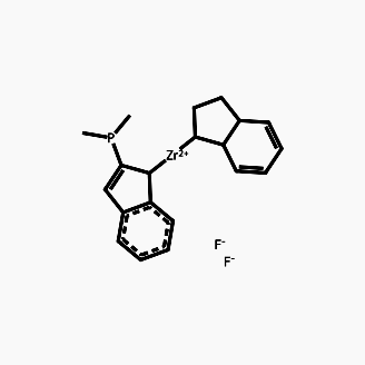 CP(C)C1=Cc2ccccc2[CH]1[Zr+2][CH]1CCC2C=CC=CC21.[F-].[F-]